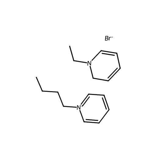 CCCC[n+]1ccccc1.CCN1C=CC=CC1.[Br-]